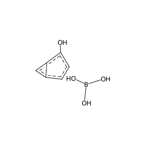 OB(O)O.Oc1ccc2cc1-2